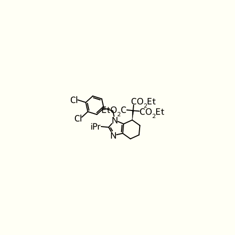 CCOC(=O)C(C(=O)OCC)(C(=O)OCC)[C@H]1CCCc2nc(C(C)C)n(Cc3ccc(Cl)c(Cl)c3)c21